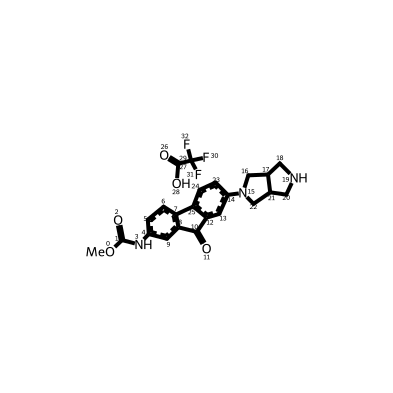 COC(=O)Nc1ccc2c(c1)C(=O)c1cc(N3CC4CNCC4C3)ccc1-2.O=C(O)C(F)(F)F